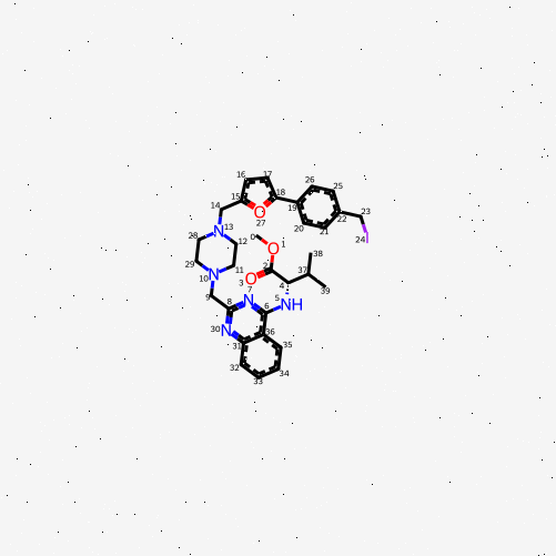 COC(=O)[C@@H](Nc1nc(CN2CCN(Cc3ccc(-c4ccc(CI)cc4)o3)CC2)nc2ccccc12)C(C)C